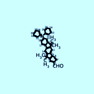 CC1(C)c2cc(C=O)ccc2-c2cc3c(cc21)-c1ccc(N(c2ccccc2)c2ccccc2)cc1C3(C)C